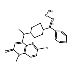 CN(c1cc(=O)n(C)c2ccc(C#N)nc12)C1CCC(/C(=N\OC(C)(C)C)c2ccccc2)CC1